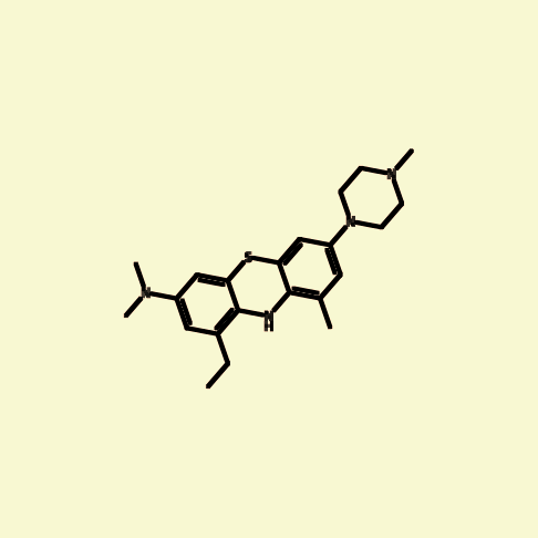 CCc1cc(N(C)C)cc2c1Nc1c(C)cc(N3CCN(C)CC3)cc1S2